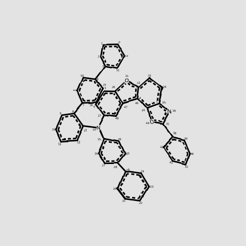 c1ccc(-c2ccc(-c3ccccc3N(c3ccc(-c4ccccc4)cc3)c3ccc4oc5ccc6nc(-c7ccccc7)oc6c5c4c3)cc2)cc1